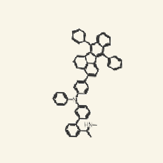 CNC(C)c1ccccc1-c1cccc(N(c2ccccc2)c2ccc(-c3ccc4c5c(cccc35)-c3c-4c(-c4ccccc4)c4ccccc4c3-c3ccccc3)cc2)c1